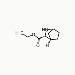 CCOC(=O)[C@H]1NC2CC[C@H]1C2